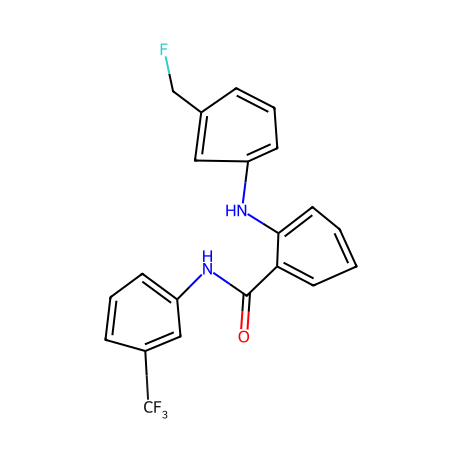 O=C(Nc1cccc(C(F)(F)F)c1)c1ccccc1Nc1cccc(CF)c1